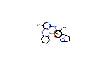 CCN1C2CCC1c1c(ccc(Nc3ncc(Cl)c(N[C@@H]4CCCC[C@H]4NS(C)(=O)=O)n3)c1OC)C2